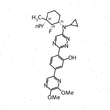 CCC[C@]1(C)CCC[C@H](N(c2cnc(-c3ccc(-c4cnc(OC)c(OC)n4)cc3O)nn2)C2CC2)[C@@H]1F